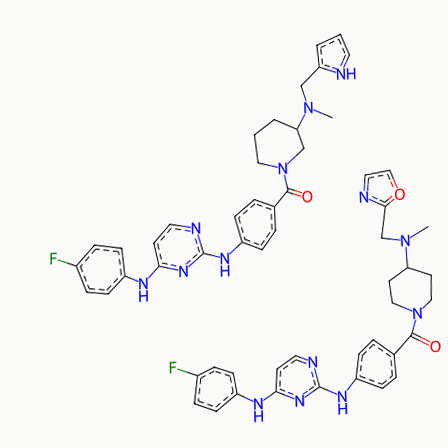 CN(Cc1ccc[nH]1)C1CCCN(C(=O)c2ccc(Nc3nccc(Nc4ccc(F)cc4)n3)cc2)C1.CN(Cc1ncco1)C1CCN(C(=O)c2ccc(Nc3nccc(Nc4ccc(F)cc4)n3)cc2)CC1